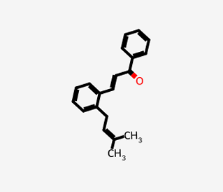 CC(C)=CCc1ccccc1C=CC(=O)c1ccccc1